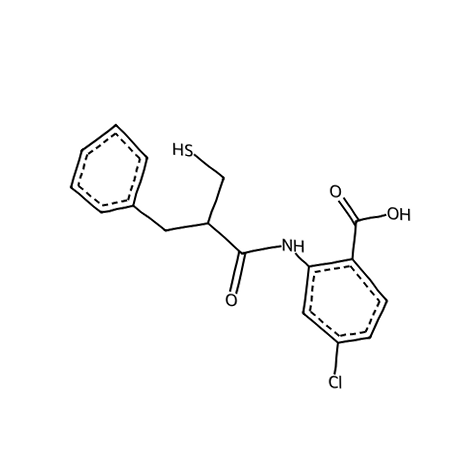 O=C(O)c1ccc(Cl)cc1NC(=O)C(CS)Cc1ccccc1